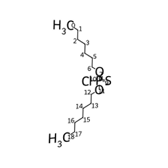 CCCCCCCOP(=S)(Cl)OCCCCCCC